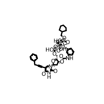 O=C(Nc1cccc(C(F)(F)F)c1)O[C@@H]1C[C@H](n2cc(C#CCc3ccccc3)c(=O)[nH]c2=O)O[C@@H]1COP(=O)(O)OP(=O)(O)OP(=O)(O)OCC1CCCCC1